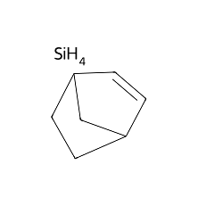 C1=CC2CCC1C2.[SiH4]